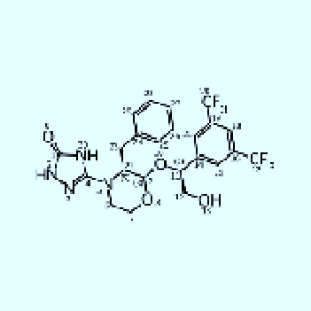 O=c1[nH]nc(N2CCO[C@H](O[C@H](CO)c3cc(C(F)(F)F)cc(C(F)(F)F)c3)[C@@H]2Cc2ccccc2)[nH]1